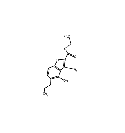 CCCc1ccc2oc(C(=O)OCC)c(C)c2c1O